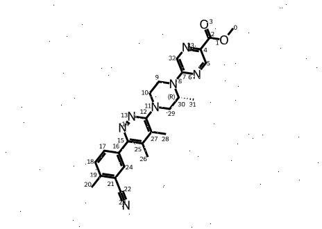 COC(=O)c1cnc(N2CCN(c3nnc(-c4ccc(C)c(C#N)c4)c(C)c3C)C[C@H]2C)cn1